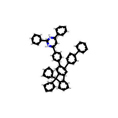 c1ccc(-c2ccc(-c3cc4c(cc3-c3ccc(-c5cc(-c6ccccc6)nc(-c6ccccc6)n5)cc3)C(c3ccccc3)(c3ccccc3)c3ccccc3-4)cc2)cc1